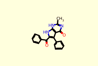 Cc1nc(=O)c2c(-c3ccccc3)c(C(=O)c3ccccc3)[nH]c2[nH]1